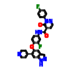 O=C(Nc1ccc(Oc2cc3cn[nH]c3cc2-c2ccncc2)c(F)c1)c1ccnn(-c2ccc(F)cc2)c1=O